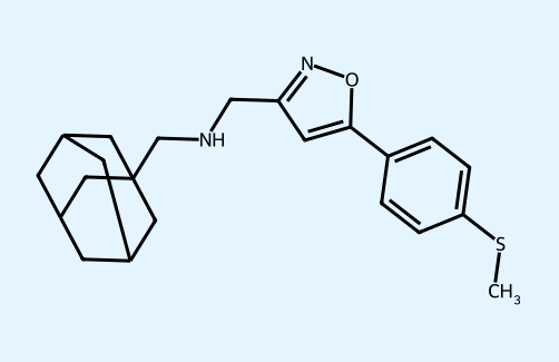 CSc1ccc(-c2cc(CNCC34CC5CC(CC(C5)C3)C4)no2)cc1